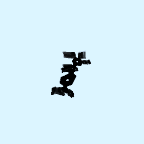 COC(=O)c1ccc(-c2nnc(-c3cc(O)c(O)c(O)c3)o2)cc1